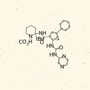 CC(C)(C)C1(NC(=O)c2cc(-c3ccccc3)sc2NC(=O)Nc2cnccn2)CCCCN1C(=O)O